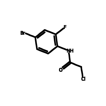 O=C(CCl)Nc1ccc(Br)cc1F